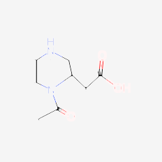 CC(=O)N1CCNCC1CC(=O)O